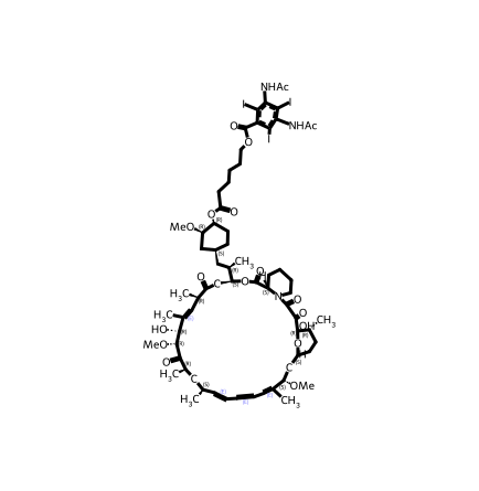 CO[C@H]1C[C@@H]2CC[C@@H](C)[C@@](O)(O2)C(=O)C(=O)N2CCCC[C@H]2C(=O)O[C@H]([C@H](C)C[C@@H]2CC[C@@H](OC(=O)CCCCCOC(=O)c3c(I)c(NC(C)=O)c(I)c(NC(C)=O)c3I)[C@H](OC)C2)CC(=O)[C@H](C)/C=C(\C)[C@@H](O)[C@@H](OC)C(=O)[C@H](C)C[C@H](C)/C=C/C=C/C=C/1C